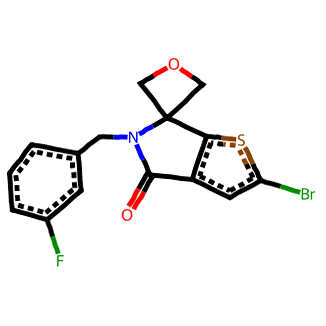 O=C1c2cc(Br)sc2C2(COC2)N1Cc1cccc(F)c1